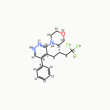 FC(F)(F)CCCc1c(-c2ccccc2)cnnc1N1CCOCC1